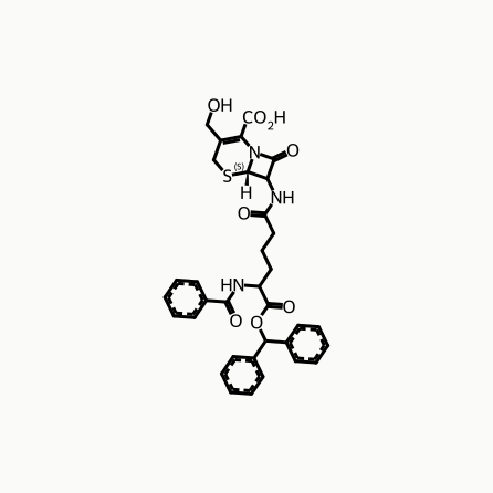 O=C(CCCC(NC(=O)c1ccccc1)C(=O)OC(c1ccccc1)c1ccccc1)NC1C(=O)N2C(C(=O)O)=C(CO)CS[C@@H]12